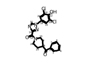 O=C(c1ccccc1)C1CCN(C(=O)c2ncn(-c3cc(Cl)c(O)c(Cl)c3)n2)CC1